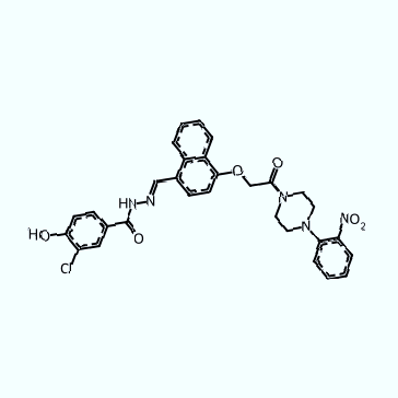 O=C(N/N=C/c1ccc(OCC(=O)N2CCN(c3ccccc3[N+](=O)[O-])CC2)c2ccccc12)c1ccc(O)c(Cl)c1